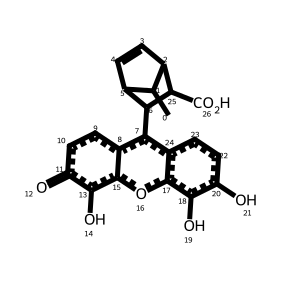 CC1C2C=CC1C(c1c3ccc(=O)c(O)c-3oc3c(O)c(O)ccc13)C2C(=O)O